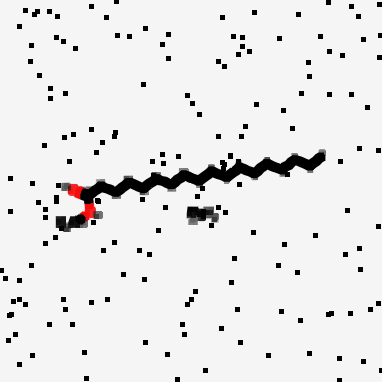 CCCCCCCCCCCCCCCCCC(=O)[O][AlH2].[MgH2]